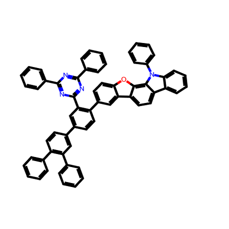 c1ccc(-c2nc(-c3ccccc3)nc(-c3cc(-c4ccc(-c5ccccc5)c(-c5ccccc5)c4)ccc3-c3ccc4oc5c(ccc6c7ccccc7n(-c7ccccc7)c65)c4c3)n2)cc1